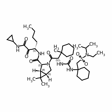 CCCC[C@H](NC(=O)[C@@H]1[C@@H]2[C@H](CN1C(=O)[C@@H](NC(=O)NC1(CS(=O)(=O)N(CC)C(C)C)CCCCC1)C1(C)CCCCC1)C2(C)C)C(=O)C(=O)NC1CC1